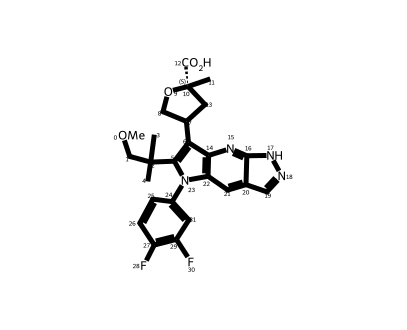 COCC(C)(C)c1c(C2CO[C@](C)(C(=O)O)C2)c2nc3[nH]ncc3cc2n1-c1ccc(F)c(F)c1